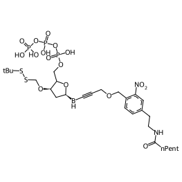 CCCCCC(=O)NCCc1ccc(COCC#CB[C@H]2C[C@@H](OCSSC(C)(C)C)C(COP(=O)(O)OP(=O)(O)OP(=O)(O)O)O2)c([N+](=O)[O-])c1